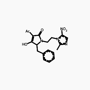 CC(=O)C1=C(O)C(Cc2ccccc2)N(CCn2c([N+](=O)[O-])cnc2C)C1=O